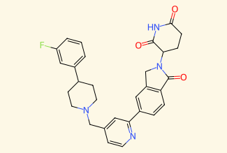 O=C1CCC(N2Cc3cc(-c4cc(CN5CCC(c6cccc(F)c6)CC5)ccn4)ccc3C2=O)C(=O)N1